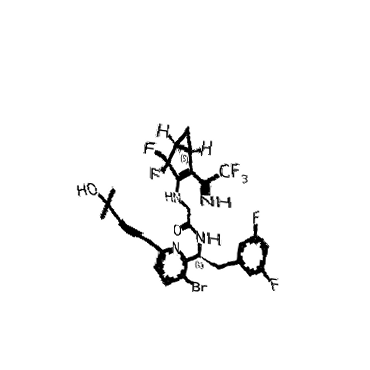 CC(C)(O)C#Cc1ccc(Br)c([C@H](Cc2cc(F)cc(F)c2)NC(=O)CNC2=C(C(=N)C(F)(F)F)[C@H]3C[C@H]3C2(F)F)n1